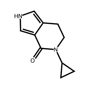 O=C1c2c[nH]cc2CCN1C1CC1